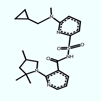 CC1CN(c2ncccc2C(=O)NS(=O)(=O)c2cccc(N(C)CC3CC3)n2)C(C)(C)C1